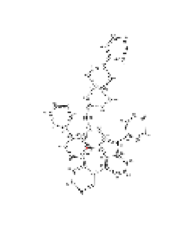 c1ccc(-c2ccc3cc(N(c4ccc5c6c(-c7ccccc7)cccc6n(-c6ccccc6)c5c4)c4ccccc4-c4ccccc4)ccc3c2)cc1